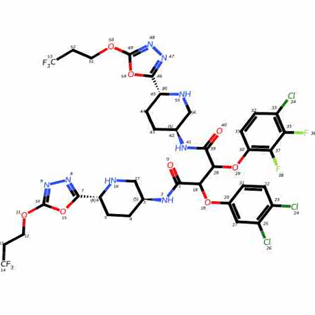 O=C(N[C@H]1CC[C@H](c2nnc(OCCC(F)(F)F)o2)NC1)C(Oc1ccc(Cl)c(Cl)c1)C(Oc1ccc(Cl)c(F)c1F)C(=O)N[C@H]1CC[C@H](c2nnc(OCCC(F)(F)F)o2)NC1